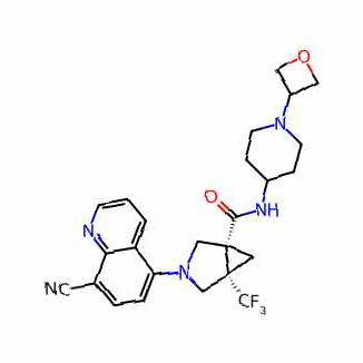 N#Cc1ccc(N2C[C@@]3(C(=O)NC4CCN(C5COC5)CC4)C[C@@]3(C(F)(F)F)C2)c2cccnc12